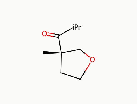 CC(C)C(=O)[C@@]1(C)CCOC1